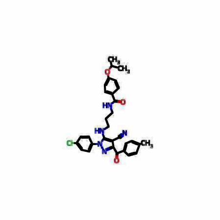 Cc1ccc(C(=O)c2nn(-c3ccc(Cl)cc3)c(NCCCNC(=O)c3ccc(OC(C)C)cc3)c2C#N)cc1